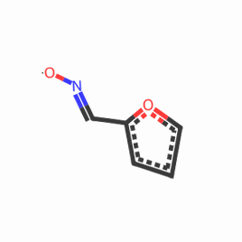 [O]N=Cc1ccco1